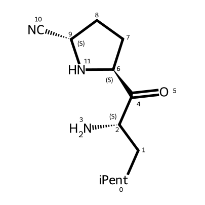 CCCC(C)C[C@H](N)C(=O)[C@@H]1CC[C@@H](C#N)N1